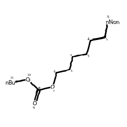 CCCCCCCCCCCCCCCOC(=O)OCCCC